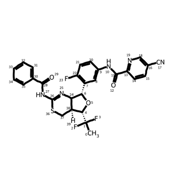 CC(F)(F)[C@H]1O[C@@H](c2cc(NC(=O)c3ccc(C#N)cn3)ccc2F)C2N=C(NC(=O)c3ccccc3)SC[C@@H]21